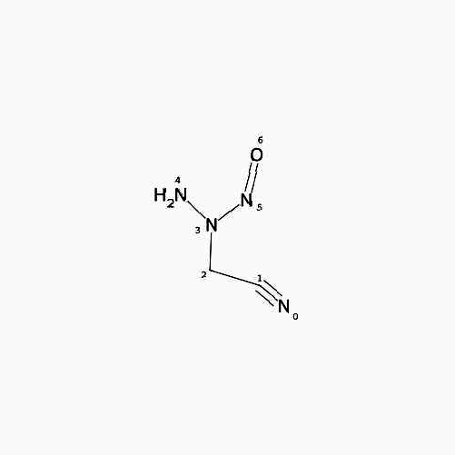 N#CCN(N)N=O